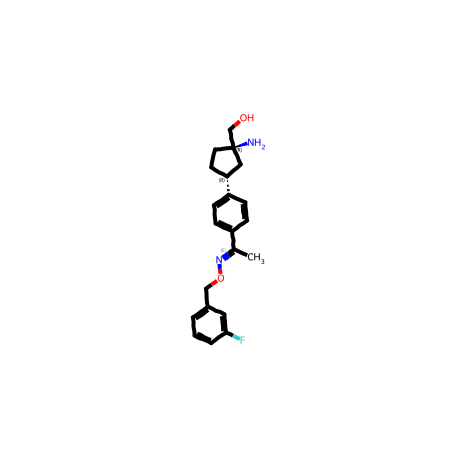 C/C(=N\OCc1cccc(F)c1)c1ccc([C@@H]2CC[C@](N)(CO)C2)cc1